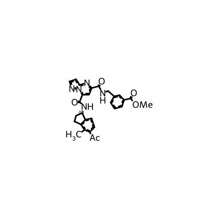 COC(=O)c1cccc(CNC(=O)c2cc(C(=O)N[C@H]3CCc4c3ccc(C(C)=O)c4C)n3nccc3n2)c1